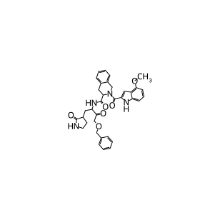 COc1cccc2[nH]c(C(=O)N3Cc4ccccc4CC3C(=O)NC(CC3CCNC3=O)C(=O)COCc3ccccc3)cc12